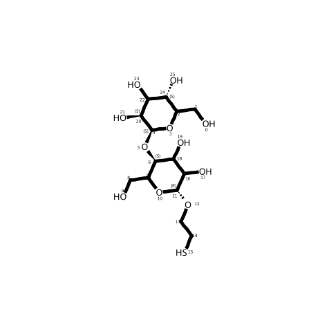 OCC1O[C@@H](O[C@@H]2C(CO)O[C@@H](OCCS)C(O)C2O)[C@@H](O)C(O)[C@@H]1O